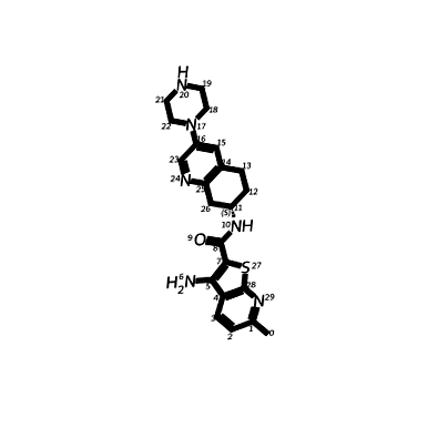 Cc1ccc2c(N)c(C(=O)N[C@H]3CCc4cc(N5CCNCC5)cnc4C3)sc2n1